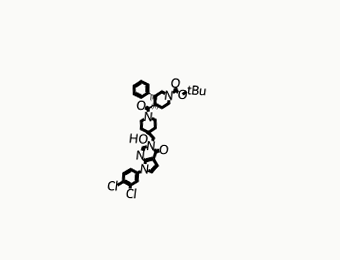 CC(C)(C)OC(=O)N1CC[C@@H](C(=O)N2CCC(O)(Cn3cnc4c(ccn4-c4ccc(Cl)c(Cl)c4)c3=O)CC2)[C@H](c2ccccc2)C1